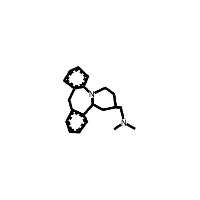 CN(C)CC1CCN2c3ccccc3Cc3ccccc3C2C1